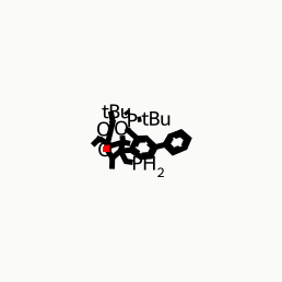 CC12CC3(C)OC(C)(CC(C)(O1)C3(CP)c1ccc(-c3ccccc3)cc1CP(C(C)(C)C)C(C)(C)C)O2